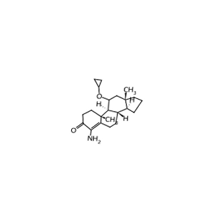 C[C@@]12CCC[C@H]1[C@@H]1CCC3=C(N)C(=O)CC[C@]3(C)[C@H]1C(OC1CC1)C2